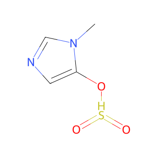 Cn1cncc1O[SH](=O)=O